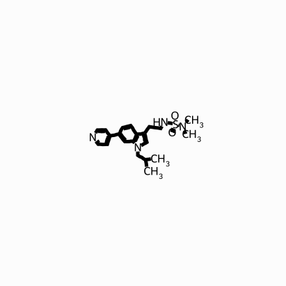 CC(C)Cn1cc(CCNS(=O)(=O)N(C)C)c2ccc(-c3ccncc3)cc21